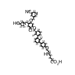 Cc1c(COc2cc(OCc3cncc(C#N)c3)c(CN3CCC(O)C3)cc2Cl)cccc1-c1cccc(-c2ccc(OCCNCCCC(=O)O)cc2)c1C